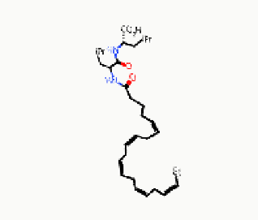 CC/C=C\C/C=C\C/C=C\C/C=C\C/C=C\CCCC(=O)NC(CC(C)C)C(=O)N[C@@H](CC(C)C)C(=O)O